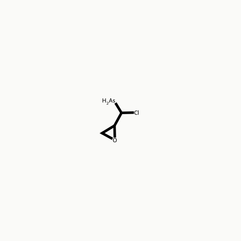 ClC([AsH2])C1CO1